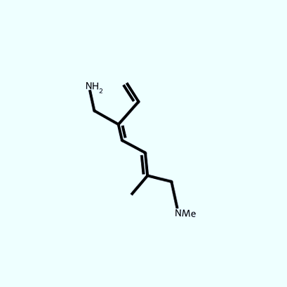 C=C/C(=C\C=C(/C)CNC)CN